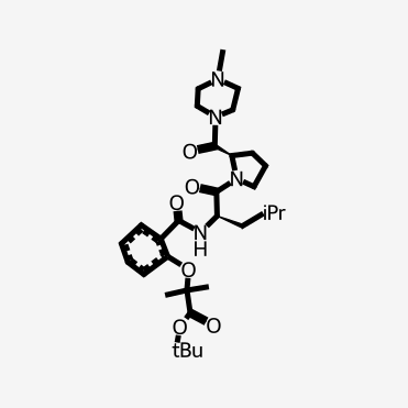 CC(C)C[C@@H](NC(=O)c1ccccc1OC(C)(C)C(=O)OC(C)(C)C)C(=O)N1CCC[C@@H]1C(=O)N1CCN(C)CC1